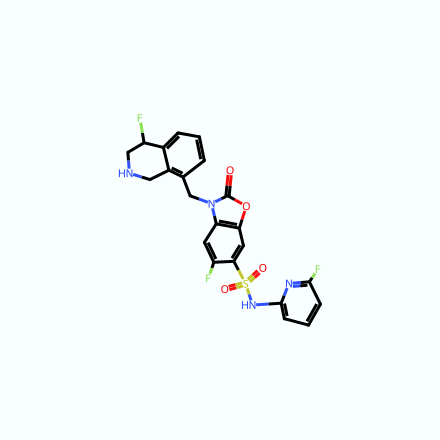 O=c1oc2cc(S(=O)(=O)Nc3cccc(F)n3)c(F)cc2n1Cc1cccc2c1CNCC2F